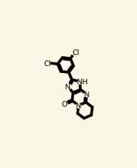 O=c1c2nc(-c3cc(Cl)cc(Cl)c3)[nH]c2nc2n1CCCC2